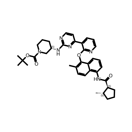 Cc1ccc2c(NC(=O)[C@H]3CCC[C@@H]3C)cccc2c1Oc1ncccc1-c1ccnc(N[C@H]2CCCN(C(=O)OC(C)(C)C)C2)n1